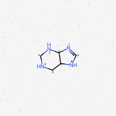 C1=NC2NCNCC2N1